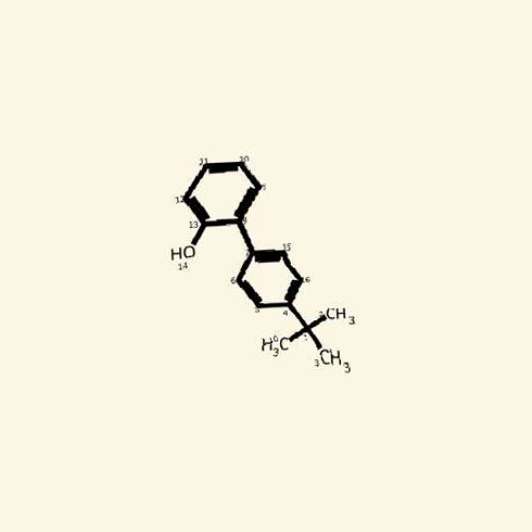 CC(C)(C)c1ccc(-c2ccccc2O)cc1